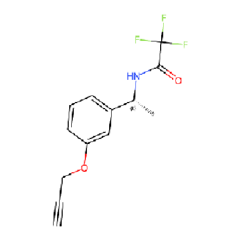 C#CCOc1cccc([C@@H](C)NC(=O)C(F)(F)F)c1